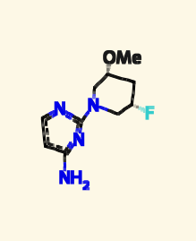 CO[C@@H]1C[C@H](F)CN(c2nccc(N)n2)C1